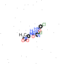 Cc1cc(NC(=O)Nc2ccnc(Cl)c2NC(=O)Nc2ccc(Cl)cc2)ccc1N1CCOCC1=O